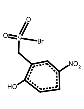 O=[N+]([O-])c1ccc(O)c(CS(=O)(=O)Br)c1